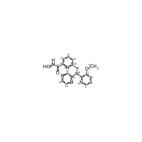 COc1cccnc1N(Cc1cccc(C(=O)NO)n1)c1cnccn1